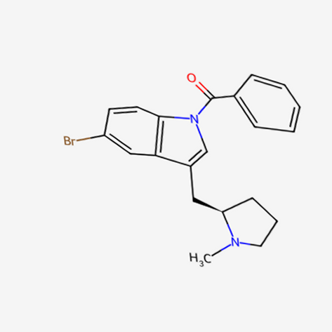 CN1CCC[C@@H]1Cc1cn(C(=O)c2ccccc2)c2ccc(Br)cc12